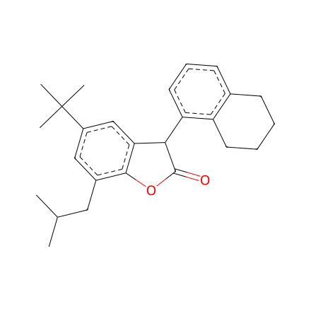 CC(C)Cc1cc(C(C)(C)C)cc2c1OC(=O)C2c1cccc2c1CCCC2